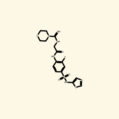 N=C(NCC(=O)Nc1ccc(S(=O)(=O)Nc2cncs2)cc1F)N1CCOCC1